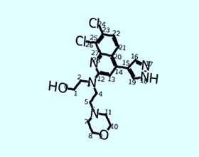 OCCN(CCN1CCOCC1)c1cc(-c2cn[nH]c2)c2ccc(Cl)c(Cl)c2n1